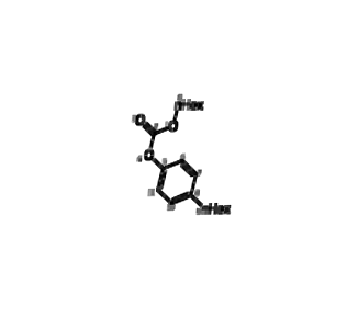 CCCCCCOC(=O)Oc1ccc(CCCCCC)cc1